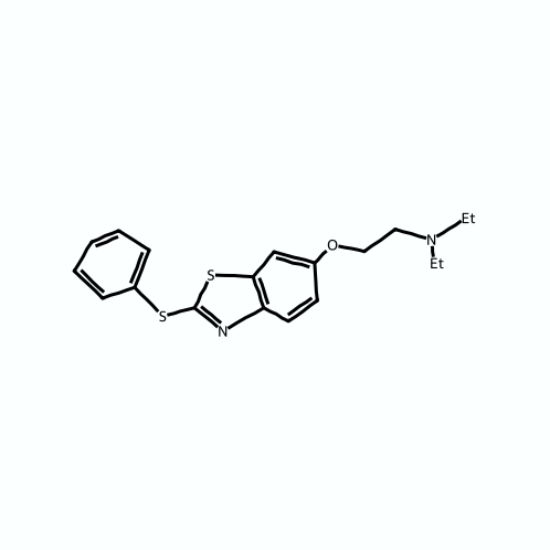 CCN(CC)CCOc1ccc2nc(Sc3ccccc3)sc2c1